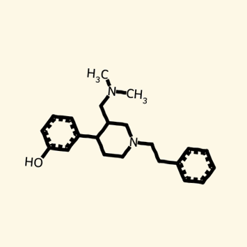 CN(C)CC1CN(CCc2ccccc2)CCC1c1cccc(O)c1